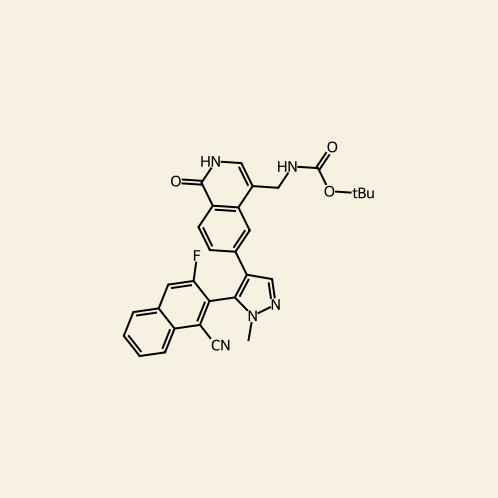 Cn1ncc(-c2ccc3c(=O)[nH]cc(CNC(=O)OC(C)(C)C)c3c2)c1-c1c(F)cc2ccccc2c1C#N